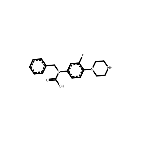 O=C(O)N(Cc1ccccc1)c1ccc(N2CCNCC2)c(F)c1